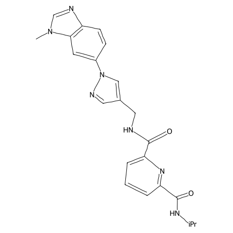 CC(C)NC(=O)c1cccc(C(=O)NCc2cnn(-c3ccc4ncn(C)c4c3)c2)n1